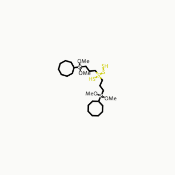 CO[Si](CCCS(S)(CCC[Si](OC)(OC)C1CCCCCCC1)SS)(OC)C1CCCCCCC1